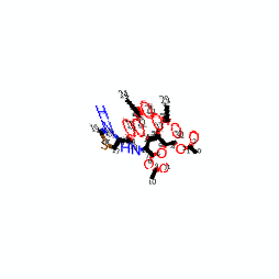 CC(=O)OCC1OC(OC(C)=O)C(NC(=O)C2CSCN2)C(OC(C)=O)C1OC(C)=O